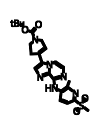 Cc1nc(S(C)(=O)=O)ccc1Nc1nccn2c(C3=CCN(C(=O)OC(C)(C)C)CC3)cnc12